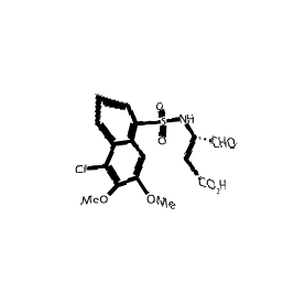 COc1cc2c(S(=O)(=O)N[C@H]([C]=O)CC(=O)O)cccc2c(Cl)c1OC